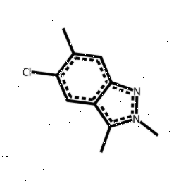 Cc1cc2nn(C)c(C)c2cc1Cl